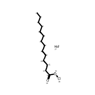 CCCCCCCCCCCCCC(=O)OCl.[Nd]